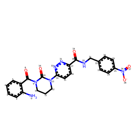 Nc1ccccc1C(=O)N1CCCN(c2ccc(C(=O)NCc3ccc([N+](=O)[O-])cc3)nn2)C1=O